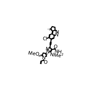 C=CC(=O)N1C[C@@H](n2nc(C#Cc3cc4nnc5c(c4cc3Cl)[C@H](C)CC5)c(C(N)=O)c2NC)C[C@@H]1COC